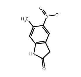 Cc1cc2c(cc1[N+](=O)[O-])CC(=O)N2